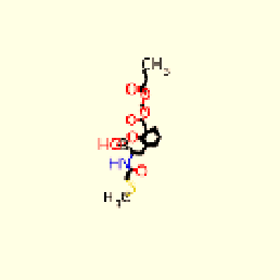 CCCC(=O)OCOC(=O)c1cccc2c1OB(O)C(NC(=O)CSC)C2